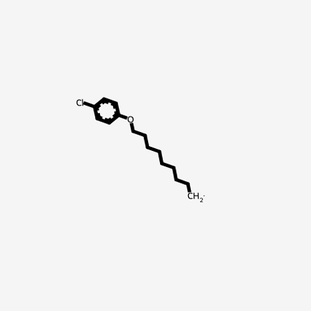 [CH2]CCCCCCCCOc1ccc(Cl)cc1